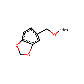 CCCCCCOCc1ccc2c(c1)OCO2